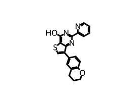 Oc1nc(-c2ccccn2)nc2c(-c3ccc4c(c3)CCCO4)csc12